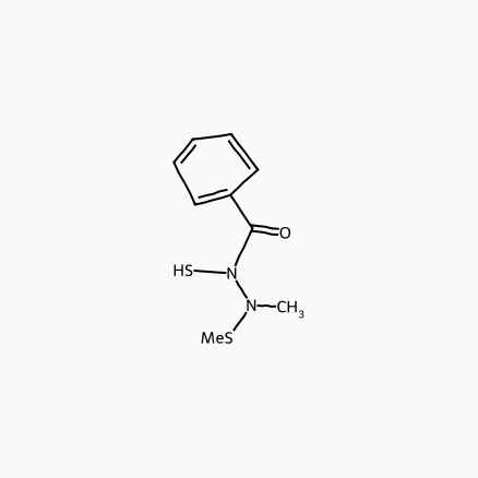 CSN(C)N(S)C(=O)c1ccccc1